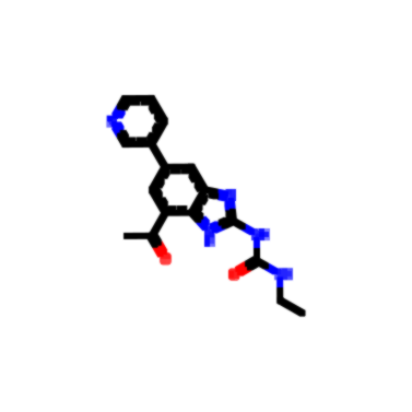 CCNC(=O)Nc1nc2cc(-c3cccnc3)cc(C(C)=O)c2[nH]1